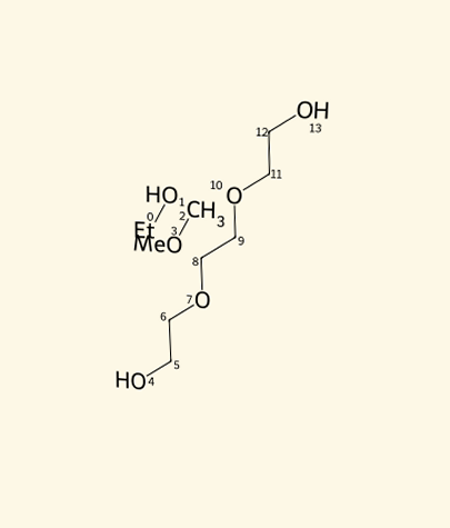 CCO.COC.OCCOCCOCCO